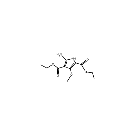 CCOC(=O)c1[nH]c(N)c(C(=O)OCC)c1OC